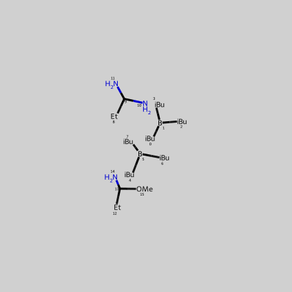 CCC(C)B(C(C)CC)C(C)CC.CCC(C)B(C(C)CC)C(C)CC.CCC(N)N.CCC(N)OC